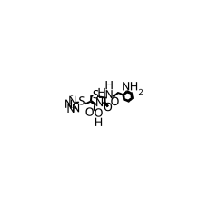 Cn1nnnc1SCC1=C(C(=O)O)N2C(=O)C(NC(=O)Cc3ccccc3N)[C@H]2SC1